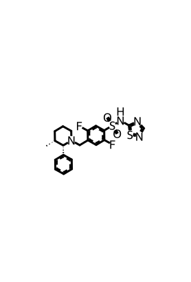 C[C@@H]1CCCN(Cc2cc(F)c(S(=O)(=O)Nc3ncns3)cc2F)[C@@H]1c1ccccc1